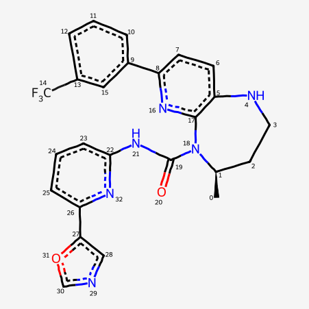 C[C@@H]1CCNc2ccc(-c3cccc(C(F)(F)F)c3)nc2N1C(=O)Nc1cccc(-c2cnco2)n1